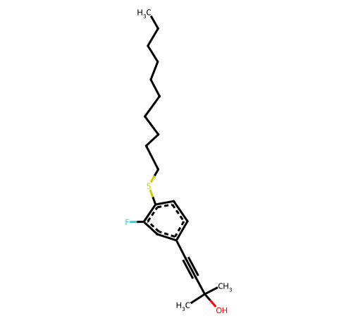 CCCCCCCCCCSc1ccc(C#CC(C)(C)O)cc1F